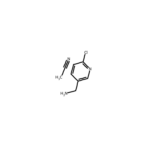 CC#N.NCc1ccc(Cl)nc1